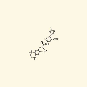 COc1cc(NC(=O)N(Cc2cc3c(cc2C)C(C)(C)CCC3(C)C)C2CC2)ccc1-n1cc(C)nn1